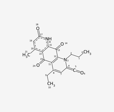 CCCN1C(=C=O)C=C(CC)C2=C1C(=O)c1[nH]c(=O)cc(C)c1C2=O